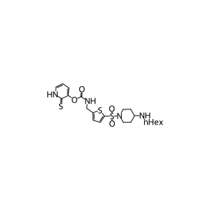 CCCCCCNC1CCN(S(=O)(=O)c2ccc(CNC(=O)Oc3ccc[nH]c3=S)s2)CC1